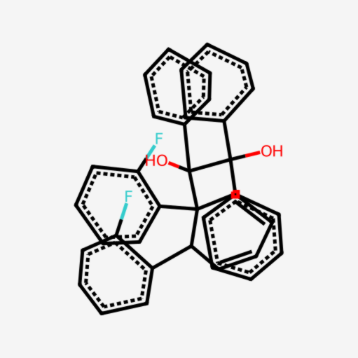 OC(c1ccccc1)(c1ccccc1)C(O)(c1ccccc1)C1(c2ccccc2F)C=CC=CC1c1ccccc1F